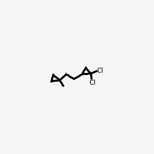 CC1([CH]CC2CC2(Cl)Cl)CC1